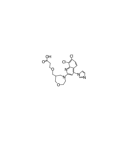 O=C(O)CCOCC1COCCN(c2cc(-n3ccnc3)c3ccc(Cl)c(Cl)c3n2)C1